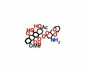 COc1cccc2c1C(=O)c1c(O)c3c(c(O)c1C2=O)C[C@@](O)(C(C)=O)C[C@@H]3OC1CC(N)C(OC2CCCCO2)C(C)O1